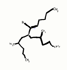 CCCC/C=C(\Br)B(CC(C)CCC)CC(C)CCC